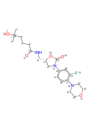 C[Si](C)(O)CCCC(=O)NC[C@H]1CN(c2ccc(N3CCOCC3)c(F)c2)C(=O)O1